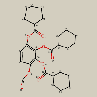 O=COc1ccc(OC(=O)C2CCCCC2)c(OC(=O)C2CCCCC2)c1OC(=O)C1CCCCC1